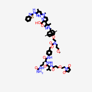 COCCCN(CCOC12CC3(Cn4ncc(-c5ccc(N(C)c6cc(C)c(Nc7nc8ccccc8s7)nn6)nc5C(=O)O)c4C)C[C@@](C)(C1)C[C@](C)(C3)C2)C(=O)OCc1ccc(NC(=O)[C@H](CCCNC(N)=O)NC(=O)[C@@H](NC(=O)CCOCCN2C(=O)C=CC2=O)C(C)C)cc1